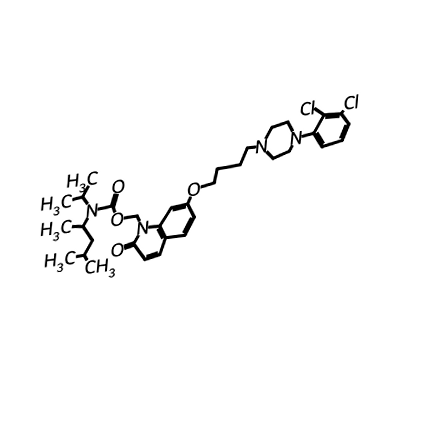 CC(C)CC(C)N(C(=O)OCn1c(=O)ccc2ccc(OCCCCN3CCN(c4cccc(Cl)c4Cl)CC3)cc21)C(C)C